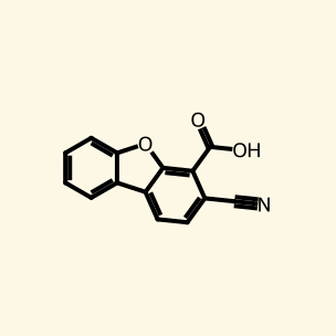 N#Cc1ccc2c(oc3ccccc32)c1C(=O)O